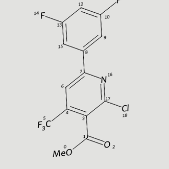 COC(=O)c1c(C(F)(F)F)cc(-c2cc(F)cc(F)c2)nc1Cl